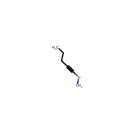 [CH2]CCC#C[N]C